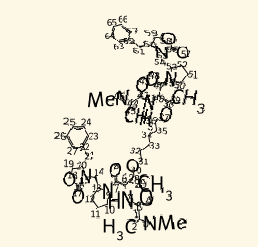 CN[C@@H](C)C(=O)N[C@H](C(=O)N1CCC[C@H]1CN1C(=O)OC[C@@H]1Cc1ccccc1)[C@@H](C)OCCCCCCO[C@H](C)[C@H](NC(=O)[C@H](C)NC)C(=O)N1CCC[C@H]1CN1C(=O)OC[C@@H]1Cc1ccccc1